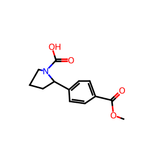 COC(=O)c1ccc(C2CCCN2C(=O)O)cc1